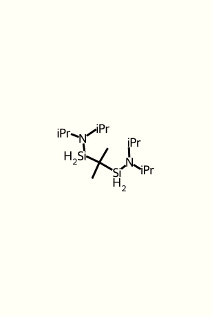 CC(C)N([SiH2]C(C)(C)[SiH2]N(C(C)C)C(C)C)C(C)C